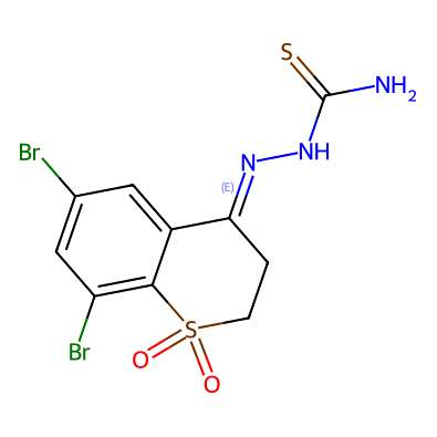 NC(=S)N/N=C1\CCS(=O)(=O)c2c(Br)cc(Br)cc21